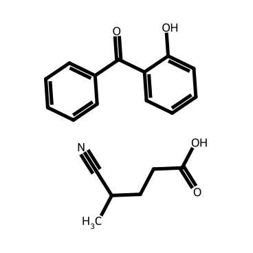 CC(C#N)CCC(=O)O.O=C(c1ccccc1)c1ccccc1O